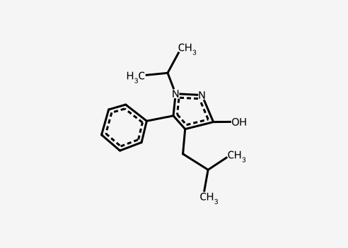 CC(C)Cc1c(O)nn(C(C)C)c1-c1ccccc1